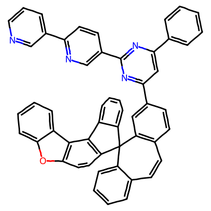 C1=Cc2ccc(-c3cc(-c4ccccc4)nc(-c4ccc(-c5cccnc5)nc4)n3)cc2C2(c3ccccc31)c1ccccc1-c1c2ccc2oc3ccccc3c12